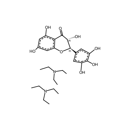 CCN(CC)CC.CCN(CC)CC.O=C1c2c(O)cc(O)cc2O[C@H](c2cc(O)c(O)c(O)c2)[C@H]1O